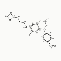 COc1ccc(C2CN(C)Cc3cc(OCCCN4CCC4)c(C)cc32)cc1